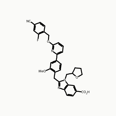 COc1cc(-c2cccc(OCc3ccc(C#N)cc3F)n2)ccc1Cc1nc2ccc(C(=O)O)cc2n1CC1CCCO1